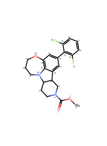 CC(C)(C)OC(=O)N1CCC2C(C1)c1cc(-c3c(F)cccc3F)cc3c1N2CCCO3